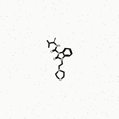 CC(C)[C@@H](C)NC(=O)n1c(=O)n(CCN2CCOCC2)c2ccccc21